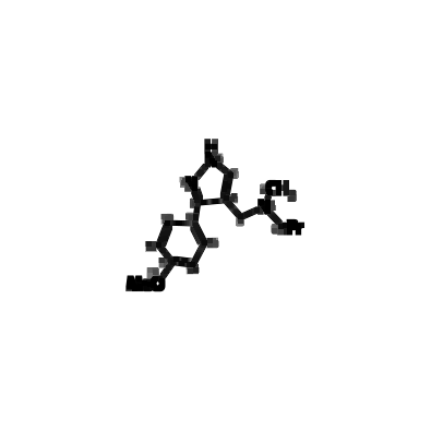 CCCN(C)Cc1c[nH]nc1-c1ccc(OC)cc1